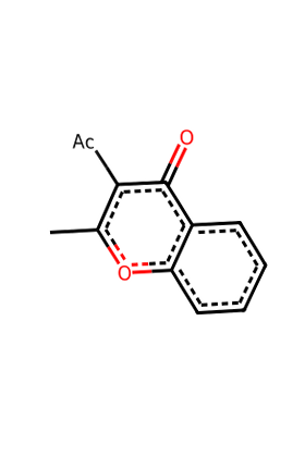 CC(=O)c1c(C)oc2ccccc2c1=O